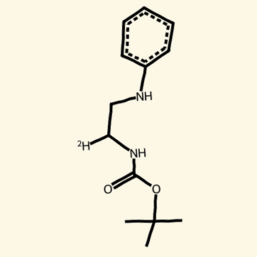 [2H]C(CNc1ccccc1)NC(=O)OC(C)(C)C